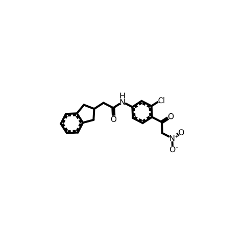 O=C(CC1Cc2ccccc2C1)Nc1ccc(C(=O)C[N+](=O)[O-])c(Cl)c1